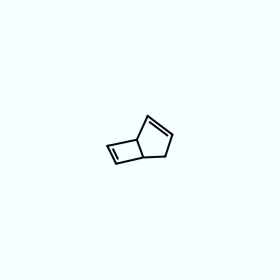 C1=CC2C=CC2C1